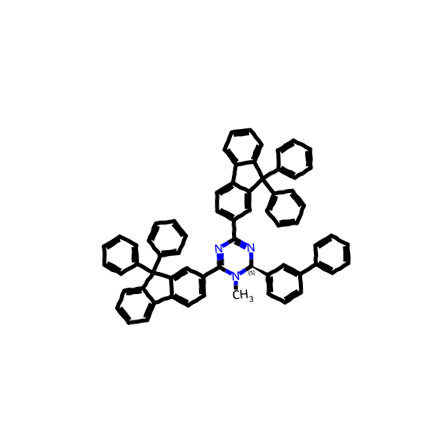 CN1C(c2ccc3c(c2)C(c2ccccc2)(c2ccccc2)c2ccccc2-3)=NC(c2ccc3c(c2)C(c2ccccc2)(c2ccccc2)c2ccccc2-3)=N[C@H]1c1cccc(-c2ccccc2)c1